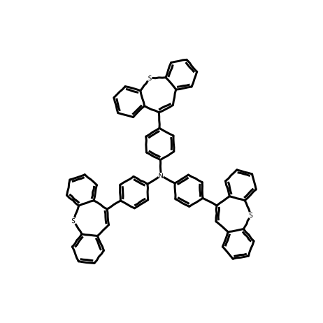 C1=C(c2ccc(N(c3ccc(C4=Cc5ccccc5Sc5ccccc54)cc3)c3ccc(C4=Cc5ccccc5Sc5ccccc54)cc3)cc2)c2ccccc2Sc2ccccc21